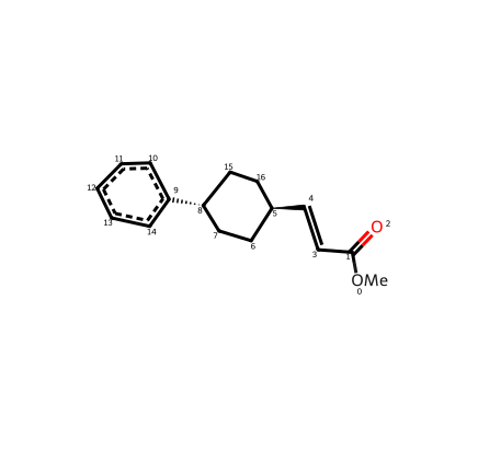 COC(=O)/C=C/[C@H]1CC[C@H](c2ccccc2)CC1